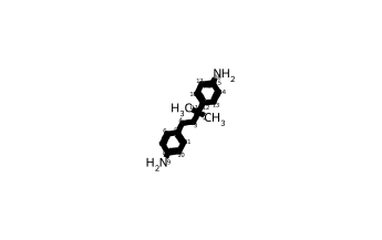 CC(C)(CCc1ccc(N)cc1)c1ccc(N)cc1